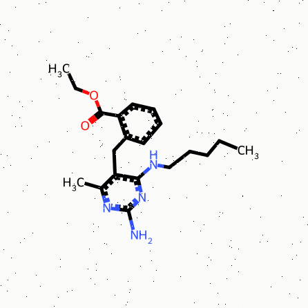 CCCCCNc1nc(N)nc(C)c1Cc1ccccc1C(=O)OCC